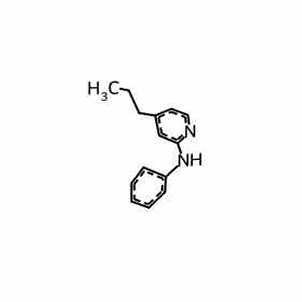 CCCc1ccnc(Nc2ccccc2)c1